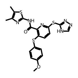 COc1ccc(Sc2ccc(Sc3nnc[nH]3)nc2C(=O)Nc2nc(C)c(C)s2)cc1